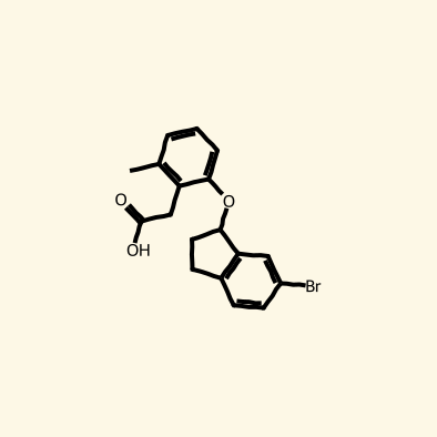 Cc1cccc(OC2CCc3ccc(Br)cc32)c1CC(=O)O